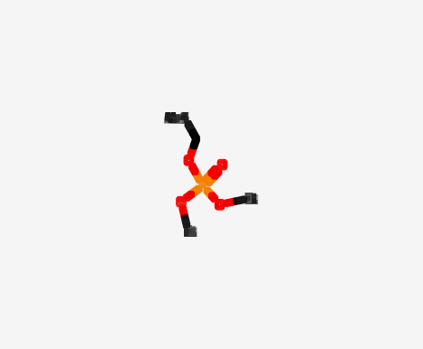 CCOP(=O)(OCC)OCSC